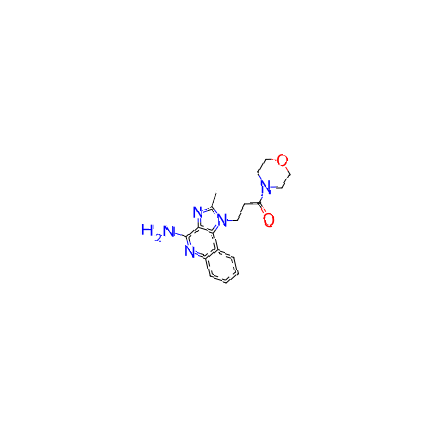 Cc1nc2c(N)nc3ccccc3c2n1CCC(=O)N1CCOCC1